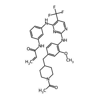 C=CC(=O)Nc1cccc(Nc2nc(Nc3ccc(CC4CCN(C(C)=O)CC4)cc3OC)ncc2C(F)(F)F)c1